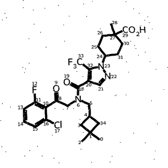 CC1(C)CC(CN(CC(=O)c2c(F)cccc2Cl)C(=O)c2cnn(C3CCC(C)(C(=O)O)CC3)c2C(F)(F)F)C1